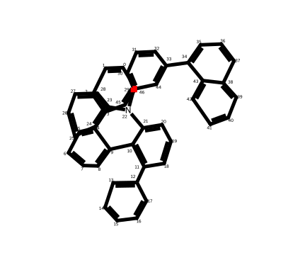 c1ccc(-c2ccccc2-c2c(-c3ccccc3)cccc2N(c2ccccc2)c2cccc(-c3cccc4ccccc34)c2)cc1